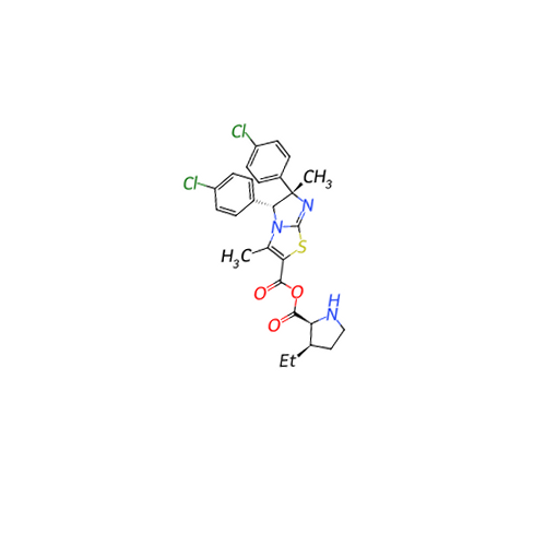 CC[C@@H]1CCN[C@@H]1C(=O)OC(=O)C1=C(C)N2C(=N[C@@](C)(c3ccc(Cl)cc3)[C@H]2c2ccc(Cl)cc2)S1